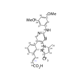 COc1cc(Nc2ncc(-c3cccc(/C=C/C(=O)O)c3)c(-n3nc(C(F)(F)F)cc3C)n2)cc(OC)c1